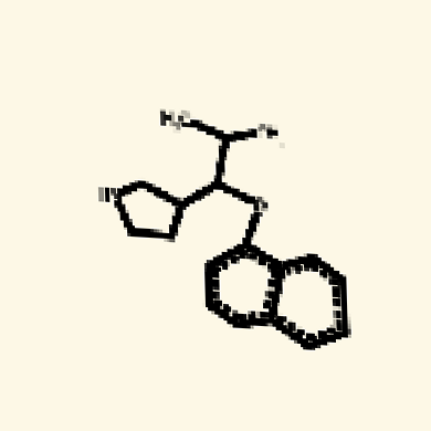 CC(C)C(Oc1cccc2ccccc12)C1CCNC1